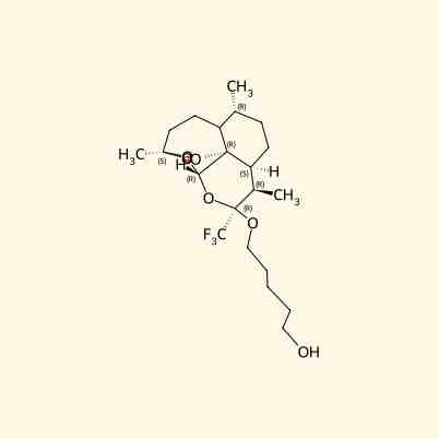 C[C@@H]1CC[C@H]2[C@@H](C)[C@](OCCCCCO)(C(F)(F)F)O[C@@H]3O[C@]4(C)CCC1[C@]32OO4